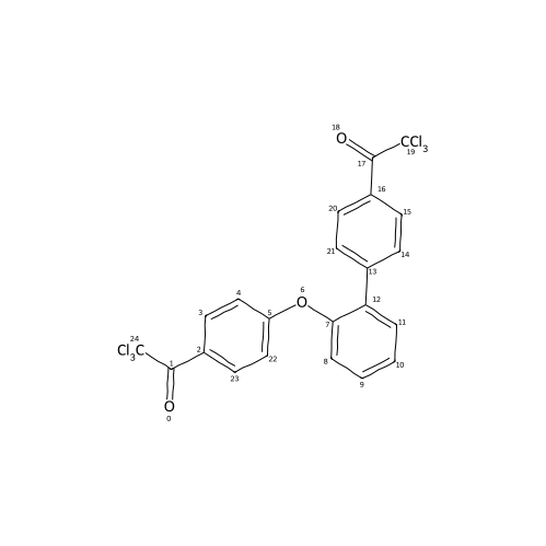 O=C(c1ccc(Oc2ccccc2-c2ccc(C(=O)C(Cl)(Cl)Cl)cc2)cc1)C(Cl)(Cl)Cl